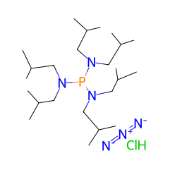 CC(C)CN(CC(C)C)P(N(CC(C)C)CC(C)C)N(CC(C)C)CC(C)C.Cl.[N-]=[N+]=[N-]